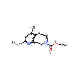 CCOC(=O)c1cc(C#N)c2c(n1)CN(C(=O)OC(C)(C)C)CC2